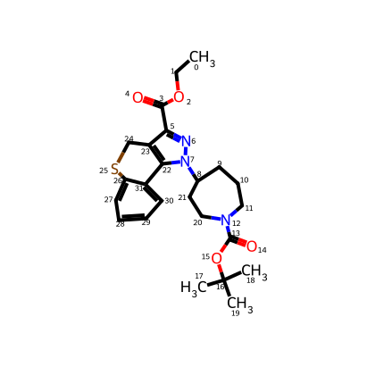 CCOC(=O)c1nn(C2CCCN(C(=O)OC(C)(C)C)CC2)c2c1CSc1ccccc1-2